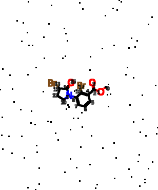 COC(=O)c1cccc(N2CCC(Br)C2=O)c1Br